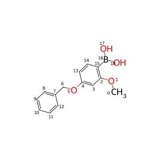 COc1cc(OCc2ccccc2)ccc1B(O)O